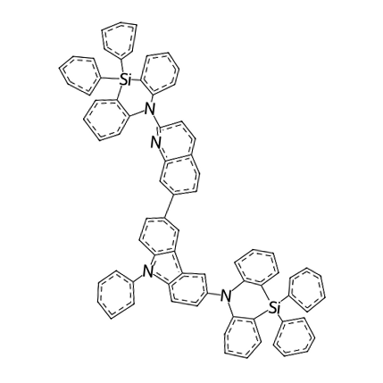 c1ccc(-n2c3ccc(-c4ccc5ccc(N6c7ccccc7[Si](c7ccccc7)(c7ccccc7)c7ccccc76)nc5c4)cc3c3cc(N4c5ccccc5[Si](c5ccccc5)(c5ccccc5)c5ccccc54)ccc32)cc1